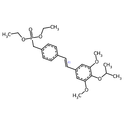 CCOP(=O)(Cc1ccc(/C=C/c2cc(OC)c(OC(C)C)c(OC)c2)cc1)OCC